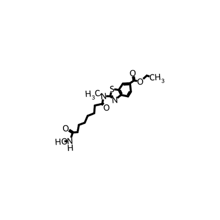 CCOC(=O)c1ccc2nc(N(C)C(=O)CCCCCCC(=O)NO)sc2c1